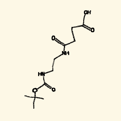 CC(C)(C)OC(=O)NCCNC(=O)CCC(=O)O